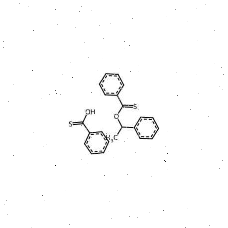 CC(OC(=S)c1ccccc1)c1ccccc1.OC(=S)c1ccccc1